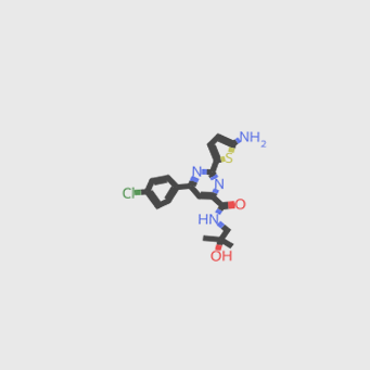 CC(C)(O)CNC(=O)c1cc(-c2ccc(Cl)cc2)nc(-c2ccc(N)s2)n1